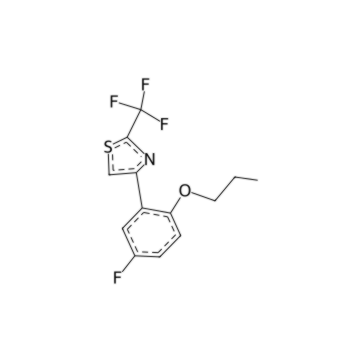 CCCOc1ccc(F)cc1-c1csc(C(F)(F)F)n1